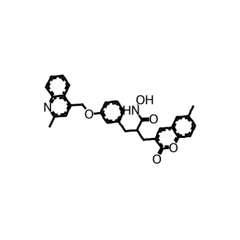 Cc1ccc2oc(=O)c(CC(Cc3cccc(OCc4cc(C)nc5ccccc45)c3)C(=O)NO)cc2c1